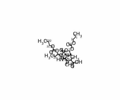 CCCOC(=O)OC(CC)OP(=O)(NC(=N)N(C)C(C)C(=O)O)OC(CC)OC(=O)OCCC